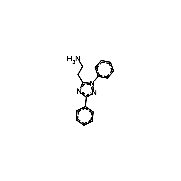 NCCc1nc(-c2ccccc2)nn1-c1ccccc1